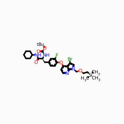 CC(C)(C)OC(=O)N[C@@H](Cc1ccc(Oc2ccnc3c2c(Br)cn3COCC[Si](C)(C)C)c(F)c1)C(=O)NC1CCCCC1